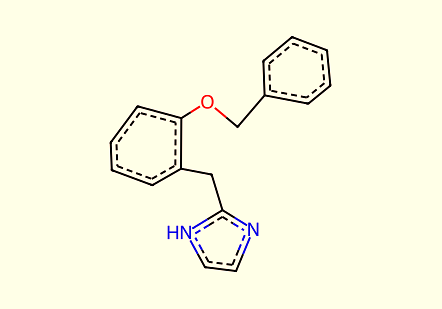 c1ccc(COc2ccccc2Cc2ncc[nH]2)cc1